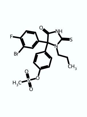 CCCN1C(=S)NC(=O)C1(c1ccc(OS(C)(=O)=O)cc1)c1ccc(F)c(Br)c1